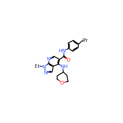 CCn1ncc2c(NC3CCOCC3)c(C(=O)Nc3ccc(C(C)C)cc3)cnc21